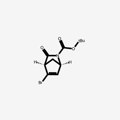 CC(C)(C)OC(=O)N1C(=O)[C@H]2C[C@@H]1C=C2Br